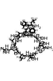 CC[C@H](C)[C@@H]1NC(=O)[C@@H](CCCNC(=N)N)NC(=O)[C@H](CC(C)C)NC(=O)[C@H]([C@H](O)C(C)C)NC(=O)[C@@H](NC(=O)[C@H](Cc2cccnc2)NC(=O)[C@H](N)CC(C)(C)C)[C@@H](c2ccccc2)NC(=O)[C@H](CO)NC(=O)[C@H]([C@H](O)C(N)=O)NC(=O)CNC(=O)[C@H]([C@H](C)O)NC1=O